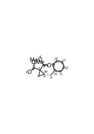 COC(=O)C1(C(=O)OC)C[C@H]1Cc1ccccc1